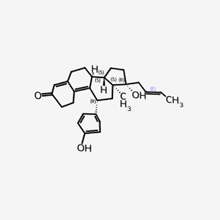 C/C=C/C[C@]1(O)CC[C@H]2[C@@H]3CCC4=CC(=O)CCC4=C3[C@@H](c3ccc(O)cc3)C[C@@]21C